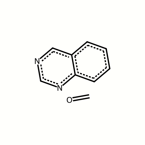 C=O.c1ccc2ncncc2c1